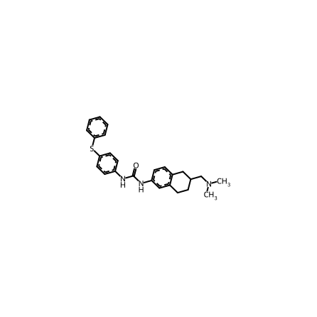 CN(C)CC1CCc2cc(NC(=O)Nc3ccc(Sc4ccccc4)cc3)ccc2C1